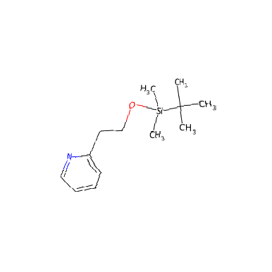 CC(C)(C)[Si](C)(C)OCCc1ccccn1